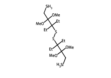 CCC(CC)(SSC(CC)(CC)C(C[SiH3])(OC)OC)C(C[SiH3])(OC)OC